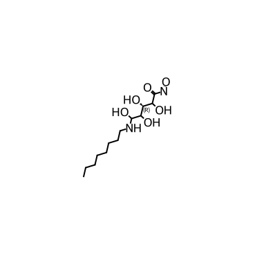 CCCCCCCCNC(O)C(O)[C@@H](O)C(O)C(=O)N=O